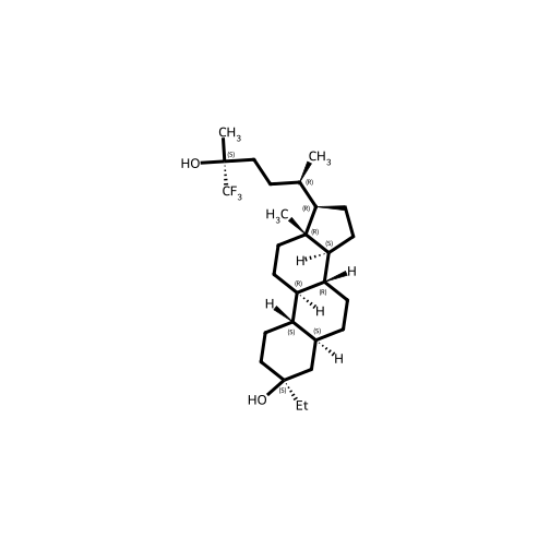 CC[C@]1(O)CC[C@H]2[C@@H](CC[C@@H]3[C@@H]2CC[C@]2(C)[C@@H]([C@H](C)CC[C@](C)(O)C(F)(F)F)CC[C@@H]32)C1